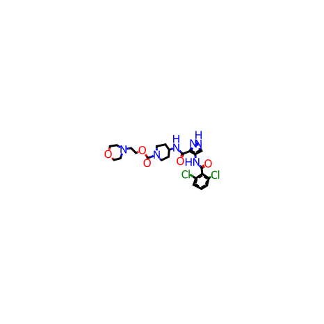 O=C(NC1CCN(C(=O)OCCN2CCOCC2)CC1)c1n[nH]cc1NC(=O)c1c(Cl)cccc1Cl